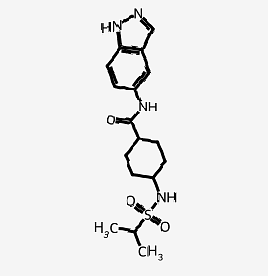 CC(C)S(=O)(=O)NC1CCC(C(=O)Nc2ccc3[nH]ncc3c2)CC1